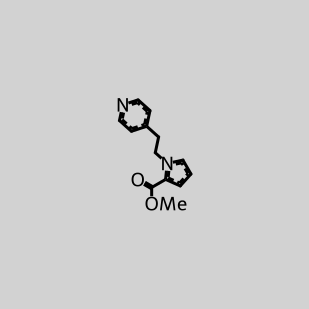 COC(=O)c1cccn1CCc1ccncc1